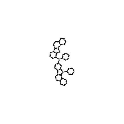 c1ccc(N(c2ccc3c4ccc5ccccc5c4n(-c4ccccc4)c3c2)c2cccc3c2sc2c4ccccc4ccc32)cc1